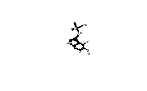 CC(C)(C)[Si](C)(C)Oc1c[nH]c2ccc(Br)c(Cl)c12